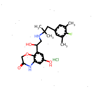 Cc1cc(CC(C)(C)NCC(O)c2cc(O)cc3c2OCC(=O)N3)cc(C)c1F.Cl